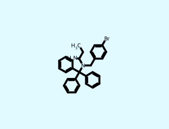 CCC(N)N(Cc1ccc(Br)cc1)C(c1ccccc1)(c1ccccc1)c1ccccc1